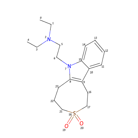 CCN(CC)CCn1c2c(c3ccccc31)CCS(=O)(=O)CCC2